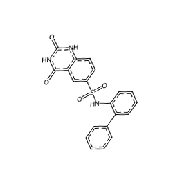 O=c1[nH]c(=O)c2cc(S(=O)(=O)Nc3ccccc3-c3ccccc3)ccc2[nH]1